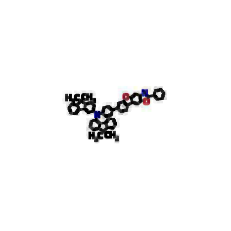 CC1(C)c2ccccc2-c2cc(N(c3ccc(-c4ccc5c(c4)oc4cc6nc(-c7ccccc7)oc6cc45)cc3)c3cccc4c3-c3ccccc3C4(C)C)ccc21